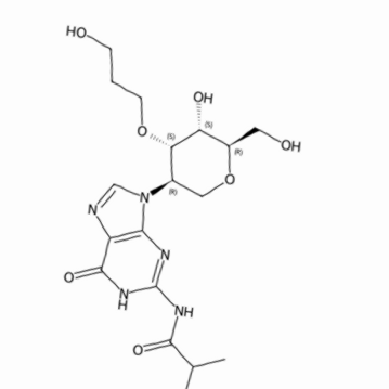 CC(C)C(=O)Nc1nc2c(ncn2[C@@H]2CO[C@H](CO)[C@@H](O)[C@H]2OCCCO)c(=O)[nH]1